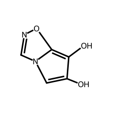 Oc1cn2cnoc2c1O